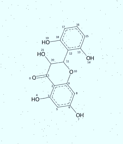 O=C1c2c(O)cc(O)cc2OC(c2c(O)cccc2O)C1O